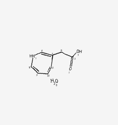 O.O=C(O)CC1=CNC=CC=C1